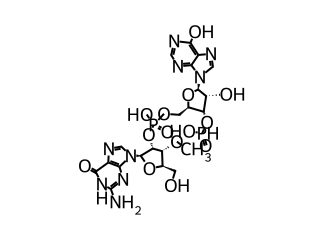 CO[C@H]1[C@@H](OP(=O)(O)OC[C@H]2O[C@@H](n3cnc4c(O)ncnc43)[C@H](O)[C@@H]2O[PH](=O)O)[C@H](n2cnc3c(=O)[nH]c(N)nc32)O[C@@H]1CO